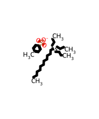 CCCCCCCCCCCC[As+](CCCC)(CCCC)CCCC.Cc1ccc(S(=O)(=O)[O-])cc1